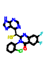 O=c1c2cc(F)c(F)cc2nc(C(S)c2ncnc3[nH]cnc23)n1-c1ccccc1Cl